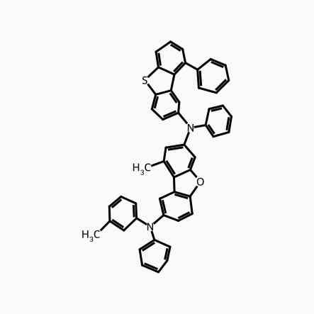 Cc1cccc(N(c2ccccc2)c2ccc3oc4cc(N(c5ccccc5)c5ccc6sc7cccc(-c8ccccc8)c7c6c5)cc(C)c4c3c2)c1